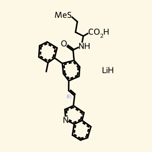 CSCCC(NC(=O)c1ccc(/C=C/c2cnc3ccccc3c2)cc1-c1ccccc1C)C(=O)O.[LiH]